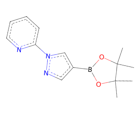 CC1(C)OB(c2cnn(-c3ccccn3)c2)OC1(C)C